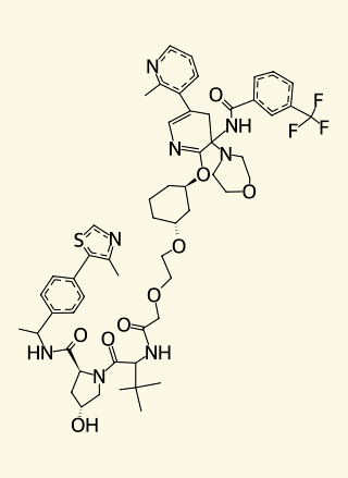 Cc1ncccc1C1=CN=C(O[C@@H]2CCC[C@@H](OCCOCC(=O)NC(C(=O)N3C[C@H](O)C[C@H]3C(=O)NC(C)c3ccc(-c4scnc4C)cc3)C(C)(C)C)C2)C(NC(=O)c2cccc(C(F)(F)F)c2)(N2CCOCC2)C1